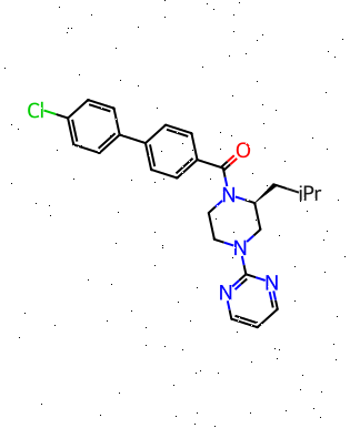 CC(C)C[C@H]1CN(c2ncccn2)CCN1C(=O)c1ccc(-c2ccc(Cl)cc2)cc1